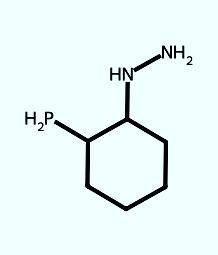 NNC1CCCCC1P